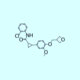 COc1cc(C2CC2C(=O)Nc2ccccc2Cl)ccc1OCC1COC1